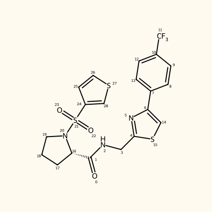 O=C(NCc1nc(-c2ccc(C(F)(F)F)cc2)cs1)[C@@H]1CCCN1S(=O)(=O)c1ccsc1